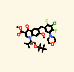 COC(=O)c1cn([C@H](CO[Si](C)(C)C(C)(C)C)C(C)C)c2cc(OC)c(Cc3cc(N4CCOCC4)c(F)c(Cl)c3F)cc2c1=O